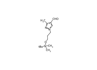 Cc1nn(CCCO[Si](C)(C)C(C)(C)C)cc1C=O